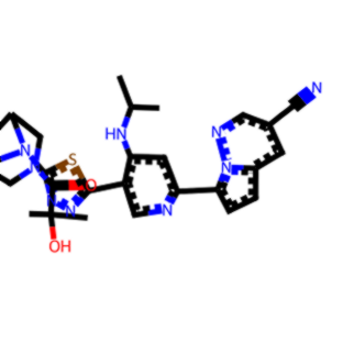 CC(C)Nc1cc(-c2ccc3cc(C#N)cnn23)ncc1-c1nnc(N2C3CC2CN(C(=O)C(C)(C)O)C3)s1